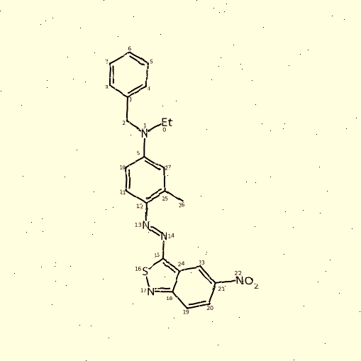 CCN(Cc1ccccc1)c1ccc(N=Nc2snc3ccc([N+](=O)[O-])cc23)c(C)c1